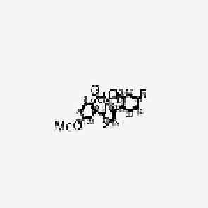 COc1ccc(C(N)=O)c(-c2nc(-c3ccc(F)cc3Cl)cs2)c1